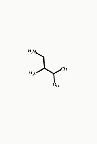 CC(O)C(C)CN